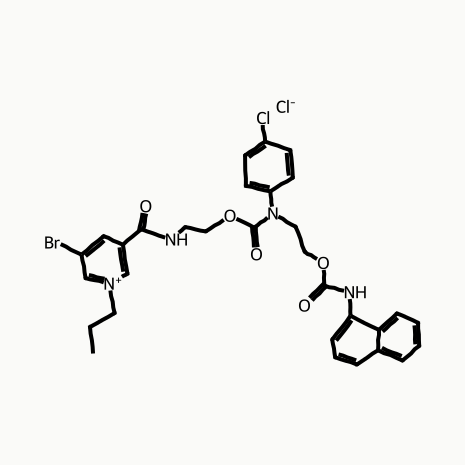 CCC[n+]1cc(Br)cc(C(=O)NCCOC(=O)N(CCOC(=O)Nc2cccc3ccccc23)c2ccc(Cl)cc2)c1.[Cl-]